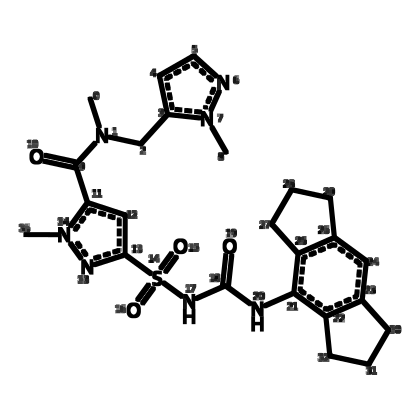 CN(Cc1ccnn1C)C(=O)c1cc(S(=O)(=O)NC(=O)Nc2c3c(cc4c2CCC4)CCC3)nn1C